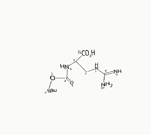 CC(C)(C)OC(=O)NC(CNC(=N)N)C(=O)O